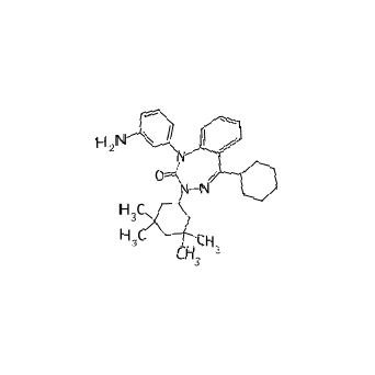 CC1(C)CC(N2N=C(C3CCCCC3)c3ccccc3N(c3cccc(N)c3)C2=O)CC(C)(C)C1